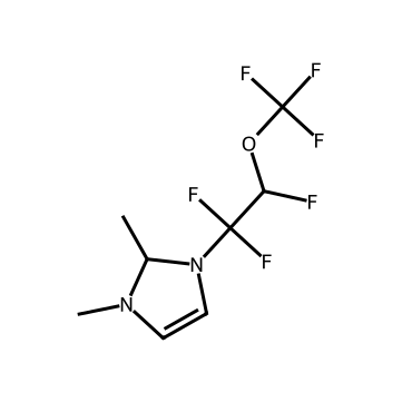 CC1N(C)C=CN1C(F)(F)C(F)OC(F)(F)F